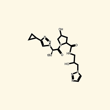 CC(C)(C)[C@H](C(=O)N1CC(O)CC1C(=O)NCC(O)Cn1ccnn1)n1cc(C2CC2)nn1